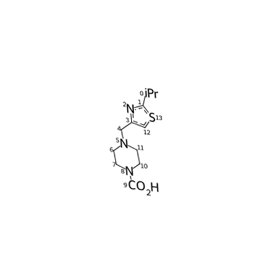 CC(C)c1nc(CN2CCN(C(=O)O)CC2)cs1